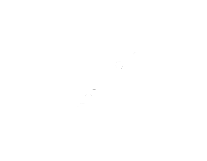 C=CCOCc1ccc(CCCCC2CCC(C=Cc3ccc(C=CCCC)cc3)CC2)cc1